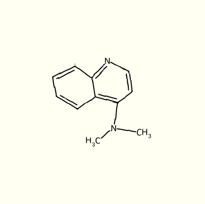 CN(C)c1ccnc2[c]cccc12